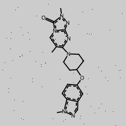 Cc1cn2c(=O)n(C)nc2nc1N1CCC(Oc2ccc3c(cnn3C)c2)CC1